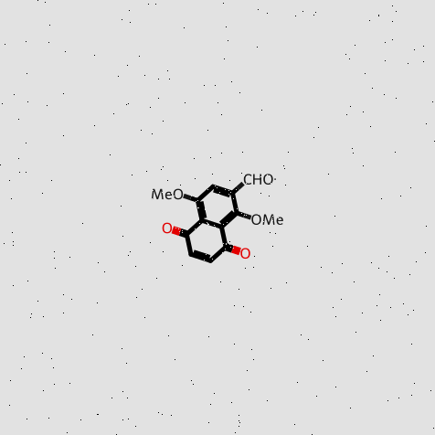 COc1cc([C]=O)c(OC)c2c1C(=O)C=CC2=O